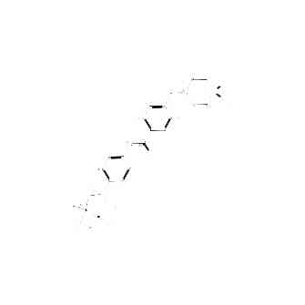 CC1(C)OB(c2ccc(NC(=O)c3ccc(CN4CCS(=O)(=O)CC4)cc3)cc2)OC1(C)C